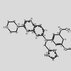 COC1=CC(N(Cc2ncc[nH]2)c2ccc3ncc(N4CCOCC4)nc3n2)=CC(OC)C1